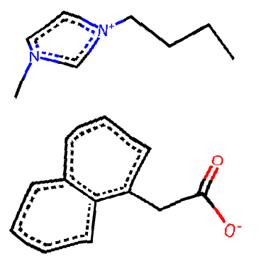 CCCC[n+]1ccn(C)c1.O=C([O-])Cc1cccc2ccccc12